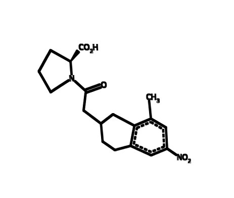 Cc1cc([N+](=O)[O-])cc2c1CC(CC(=O)N1CCC[C@H]1C(=O)O)CC2